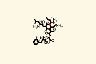 CC[C@H](C)[C@H](N)C(=O)C1=C(CN)OCC(C(=O)C[C@H](NC(=O)[C@@H](N)Cc2ccccc2)C(=O)O)=C1C(=O)C(C[C@H](O)[C@@H](N)CC(C)C)C(C)C